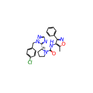 Cc1onc(-c2ccccc2)c1NC(=O)N1CCC[C@@H]1c1ncnn1Cc1ccc(Cl)cc1